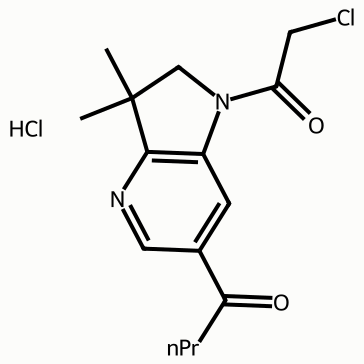 CCCC(=O)c1cnc2c(c1)N(C(=O)CCl)CC2(C)C.Cl